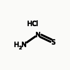 Cl.NN=S